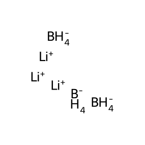 [BH4-].[BH4-].[BH4-].[Li+].[Li+].[Li+]